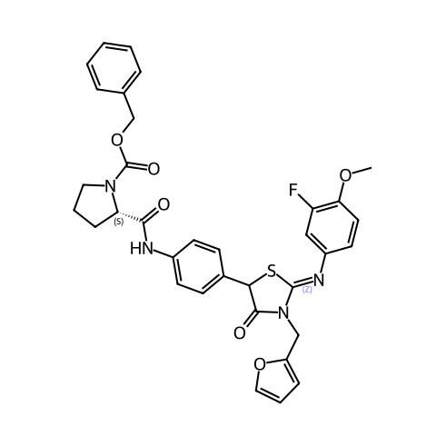 COc1ccc(/N=C2\SC(c3ccc(NC(=O)[C@@H]4CCCN4C(=O)OCc4ccccc4)cc3)C(=O)N2Cc2ccco2)cc1F